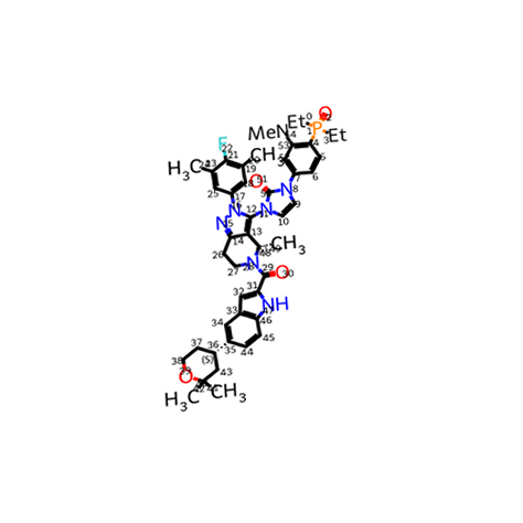 CCP(=O)(CC)c1ccc(-n2ccn(-c3c4c(nn3-c3cc(C)c(F)c(C)c3)CCN(C(=O)c3cc5cc([C@H]6CCOC(C)(C)C6)ccc5[nH]3)[C@H]4C)c2=O)cc1NC